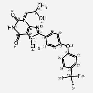 CC(O)Cn1c(=O)[nH]c(=O)c2c1nc(-c1ccc(Oc3ccc(C(F)(F)F)cc3)cc1)n2C